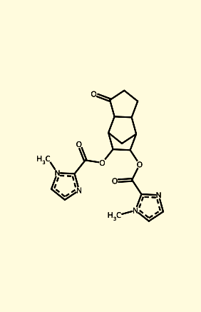 Cn1ccnc1C(=O)OC1C2CC(C1OC(=O)c1nccn1C)C1C(=O)CCC21